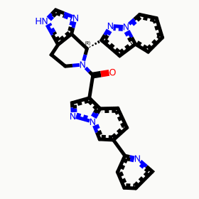 O=C(c1cnn2cc(-c3ccccn3)ccc12)N1CCc2[nH]cnc2[C@@H]1c1cc2ccccn2n1